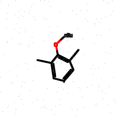 CCCCOc1c(C)c[c]cc1C